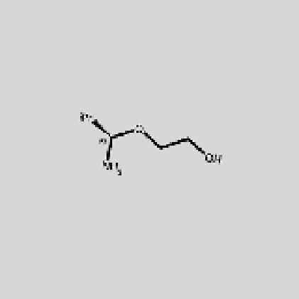 CC(C)[C@H](N)OCCO